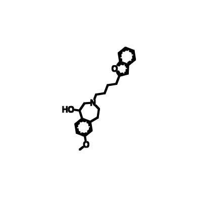 COc1ccc2c(c1)CCN(CCCCc1cc3ccccc3o1)CC2O